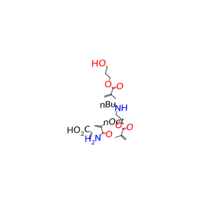 C=C(C)C(=O)OCCCO.C=C(C)C(=O)OCCNCCCC.C=C(CCCCCCCC)C(N)=O.C=CC(=O)O